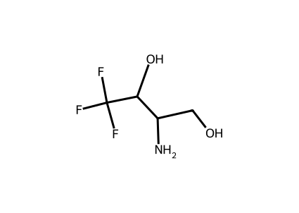 NC(CO)C(O)C(F)(F)F